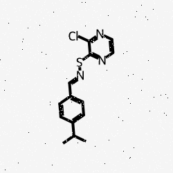 CC(C)c1ccc(C=NSc2nccnc2Cl)cc1